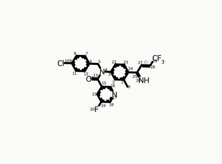 Cc1cc(N(Cc2ccc(Cl)cc2)C(=O)c2cncc(F)c2)ccc1C(=N)/C=C/C(F)(F)F